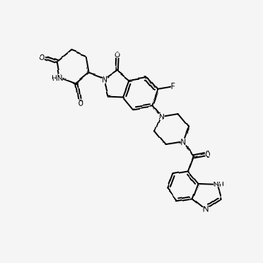 O=C1CCC(N2Cc3cc(N4CCN(C(=O)c5cccc6nc[nH]c56)CC4)c(F)cc3C2=O)C(=O)N1